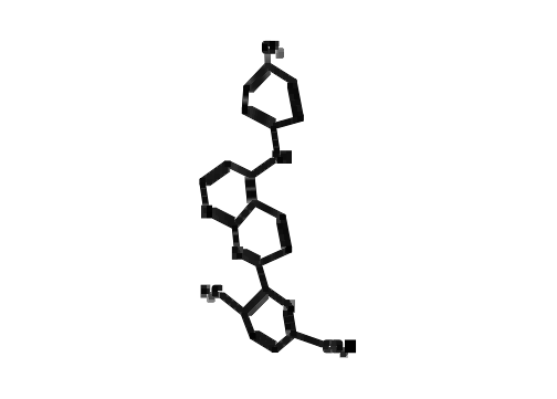 O=C(O)c1ccc(C(F)(F)F)c(-c2ccc3c(Nc4ccc(C(F)(F)F)cc4)ccnc3n2)n1